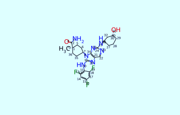 C[C@]1(C(N)=O)CC[C@@H](n2c(Nc3c(F)cc(F)cc3F)nc3cnc(N[C@@H]4CCC[C@@H](O)C4)nc32)CC1